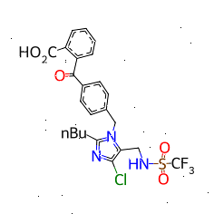 CCCCc1nc(Cl)c(CNS(=O)(=O)C(F)(F)F)n1Cc1ccc(C(=O)c2ccccc2C(=O)O)cc1